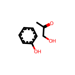 CC(=O)CO.Oc1ccccc1